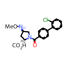 CO/N=C1\C[C@@H](C(=O)O)N(C(=O)c2ccc(-c3ccccc3Cl)cc2)C1